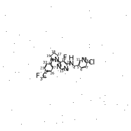 Fc1c(NCc2ccc(Cl)nc2)ncnc1N1CCC[C@@H]1c1ccc(C(F)(F)F)cc1